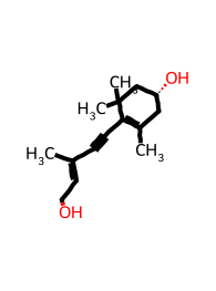 CC1=C(C#C/C(C)=C/CO)C(C)(C)C[C@H](O)C1